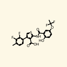 Cc1ccc(-c2csc(NC(=O)c3cc(OC(C)(F)F)ccc3O)c2C(=O)O)c(F)c1F